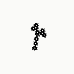 c1cncc(-c2ccc(-c3ccc(-c4nc5c(-c6cc7ccccc7c7ccccc67)cc(-c6cc7ccccc7c7ccccc67)cc5s4)cc3)cc2)c1